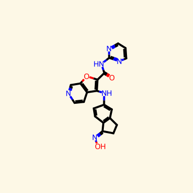 O=C(Nc1ncccn1)c1oc2cnccc2c1Nc1ccc2c(c1)CC/C2=N\O